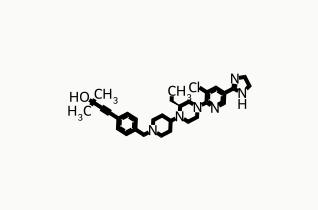 CC[C@H]1CN(c2ncc(C3=NCCN3)cc2Cl)CCN1C1CCN(Cc2ccc(C#CC(C)(C)O)cc2)CC1